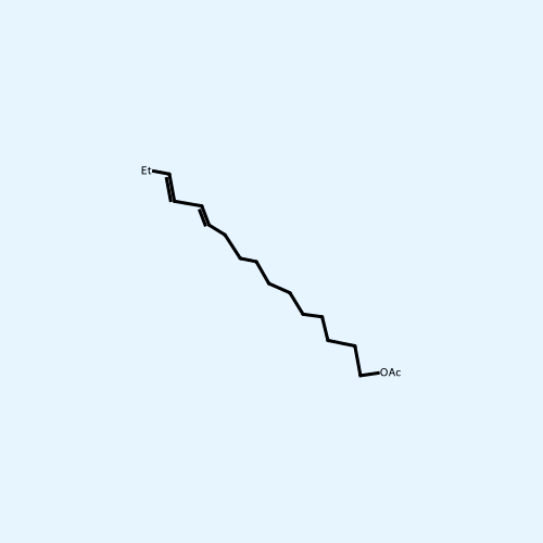 CCC=CC=CCCCCCCCCCCOC(C)=O